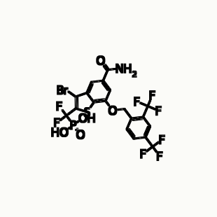 NC(=O)c1cc(OCc2ccc(C(F)(F)F)cc2C(F)(F)F)c2sc(C(F)(F)P(=O)(O)O)c(Br)c2c1